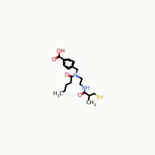 CCCCC(=O)N(CCNC(=O)C(C)CS)Cc1ccc(C(=O)O)cc1